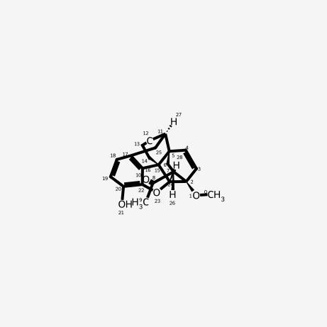 CO[C@]12C=C[C@@]3(C[C@H]1C(C)=O)[C@@H]1CCC[C@@]34c3c(ccc(O)c3O[C@@H]24)C1